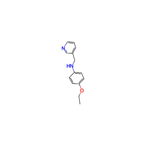 CCOc1ccc(NCc2cccnc2)cc1